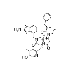 CCCN(C(=O)NCc1ccccc1)N1CC(=O)N2[C@@H](CC3=CC(C)C(O)C=N3)C(=O)N(Cc3cccc4sc(N)nc34)C[C@@H]21